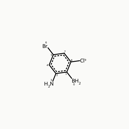 Bc1c(N)cc(Br)cc1Cl